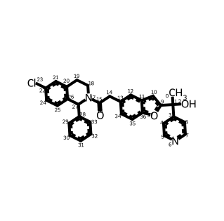 CC(O)(c1ccncc1)c1cc2cc(CC(=O)N3CCc4cc(Cl)ccc4C3c3ccccc3)ccc2o1